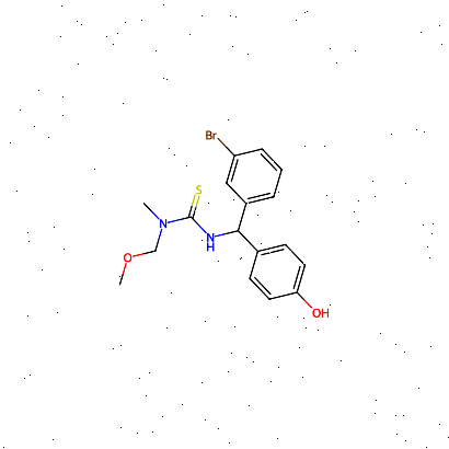 COCN(C)C(=S)NC(c1ccc(O)cc1)c1cccc(Br)c1